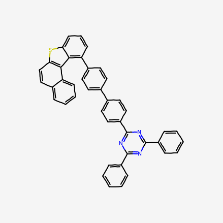 c1ccc(-c2nc(-c3ccccc3)nc(-c3ccc(-c4ccc(-c5cccc6sc7ccc8ccccc8c7c56)cc4)cc3)n2)cc1